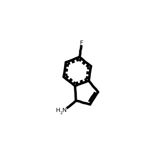 NC1C=Cc2cc(F)ccc21